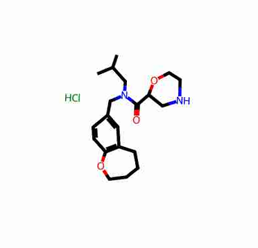 CC(C)CN(Cc1ccc2c(c1)CCCCO2)C(=O)C1CNCCO1.Cl